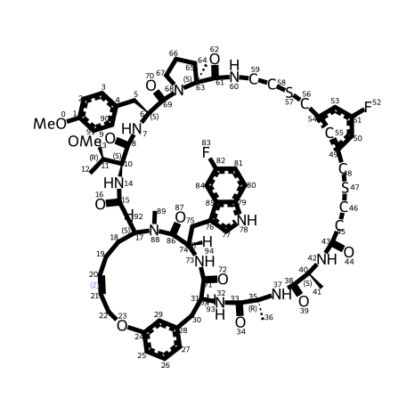 COc1ccc(C[C@@H]2NC(=O)[C@H]([C@@H](C)OC)NC(=O)[C@@H]3CC/C=C\COc4cccc(c4)C[C@H](NC(=O)[C@@H](C)NC(=O)[C@H](C)NC(=O)CCSCc4cc(F)cc(c4)CSCCNC(=O)[C@]4(C)CCCN4C2=O)C(=O)N[C@@H](Cc2c[nH]c4ccc(F)cc24)C(=O)N3C)cc1